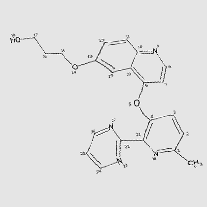 Cc1ccc(Oc2ccnc3ccc(OCCCO)cc23)c(-c2ncccn2)n1